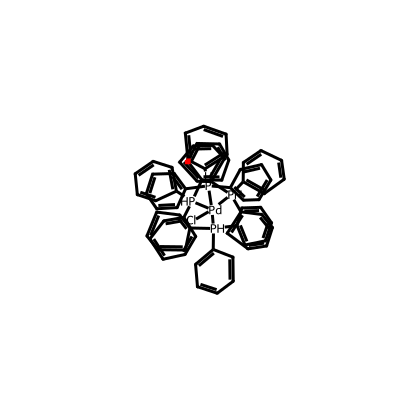 [Cl][Pd]([PH](c1ccccc1)(c1ccccc1)c1ccccc1)([PH](c1ccccc1)(c1ccccc1)c1ccccc1)([PH](c1ccccc1)(c1ccccc1)c1ccccc1)[PH](c1ccccc1)(c1ccccc1)c1ccccc1